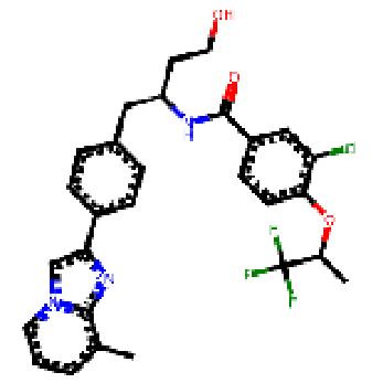 Cc1cccn2cc(-c3ccc(C[C@@H](CCO)NC(=O)c4ccc(OC(C)C(F)(F)F)c(Cl)c4)cc3)nc12